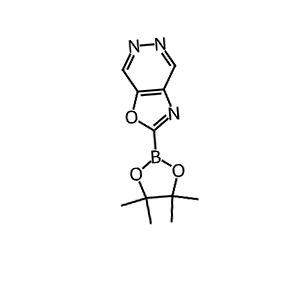 CC1(C)OB(c2nc3cnncc3o2)OC1(C)C